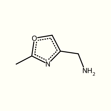 Cc1nc(CN)co1